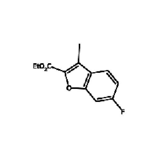 CCOC(=O)c1oc2cc(F)ccc2c1I